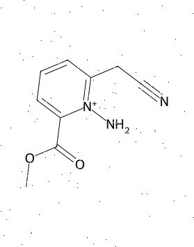 COC(=O)c1cccc(CC#N)[n+]1N